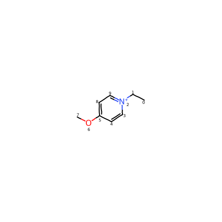 CC[n+]1ccc(OC)cc1